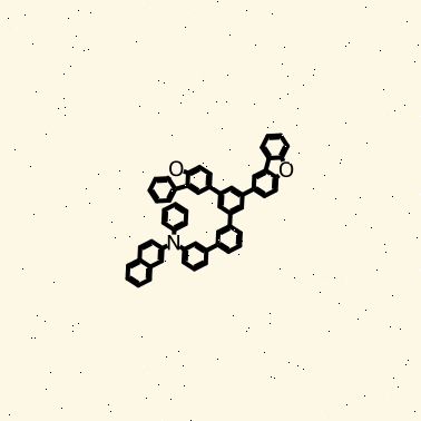 c1ccc(N(c2cccc(-c3cccc(-c4cc(-c5ccc6oc7ccccc7c6c5)cc(-c5ccc6oc7ccccc7c6c5)c4)c3)c2)c2ccc3ccccc3c2)cc1